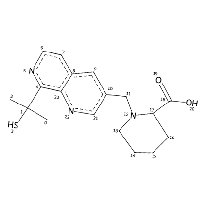 CC(C)(S)c1nccc2cc(CN3CCCCC3C(=O)O)cnc12